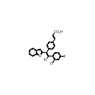 CC/C(=C(/c1ccc(/C=C/C(=O)O)cc1)c1cc2ccccc2o1)c1ccc(F)cc1Cl